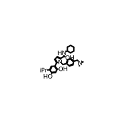 CC(C)c1cc(-c2ccc(C(O)NC3CCCCC3)n2Cc2ccc(CN(C)C)cc2)c(O)cc1O